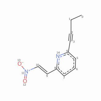 CCC#Cc1cccc(/C=C/[N+](=O)[O-])n1